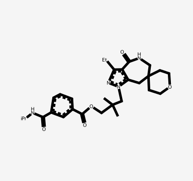 CCc1nn(CC(C)(C)COC(=O)c2cccc(C(=O)NC(C)C)c2)c2c1C(=O)NCC1(CCOCC1)C2